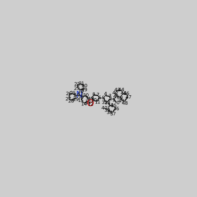 C=C(c1ccc(-c2ccc3c(c2)oc2ccc(N(c4ccccc4)c4ccccc4)cc23)cc1-c1ccccc1C)c1cccc2ccccc12